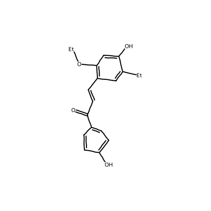 CCOc1cc(O)c(CC)cc1C=CC(=O)c1ccc(O)cc1